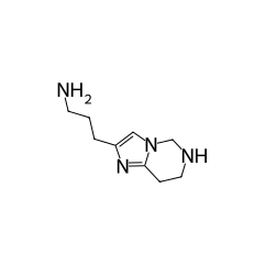 NCCCc1cn2c(n1)CCNC2